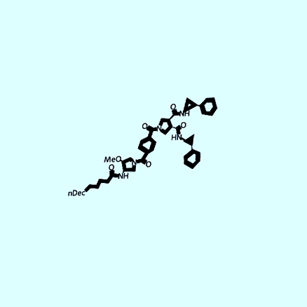 CCCCCCCCCCCCCCC(=O)N[C@H]1CN(C(=O)c2ccc(C(=O)N3C[C@@H](C(=O)N[C@H]4C[C@@H]4c4ccccc4)[C@H](C(=O)N[C@H]4C[C@@H]4c4ccccc4)C3)cc2)C[C@H]1OC